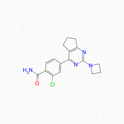 NC(=O)c1ccc(-c2nc(N3CCC3)nc3c2CCC3)cc1Cl